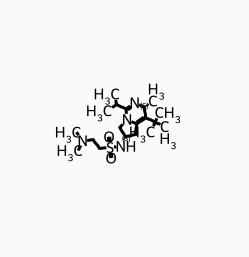 CC(C)C1=N[C@@H](C)C(C(C)(C)C)=C2C[C@H](NS(=O)(=O)CCN(C)C)CN12